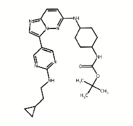 CC(C)(C)OC(=O)NC1CCC(Nc2ccc3ncc(-c4cnc(NCCC5CC5)nc4)n3n2)CC1